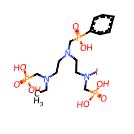 CCN(CCN(CCN(I)CP(=O)(O)O)CP(=O)(O)c1ccccc1)CP(=O)(O)O